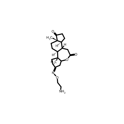 C[C@]12CC/C(=N/OCCN)CC1OC(=O)C[C@@H]1[C@@H]2CC[C@]2(C)C(=O)CC[C@@H]12